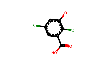 O=C(O)c1cc(Br)cc(O)c1Cl